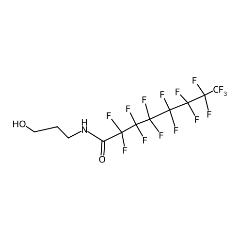 O=C(NCCCO)C(F)(F)C(F)(F)C(F)(F)C(F)(F)C(F)(F)C(F)(F)C(F)(F)F